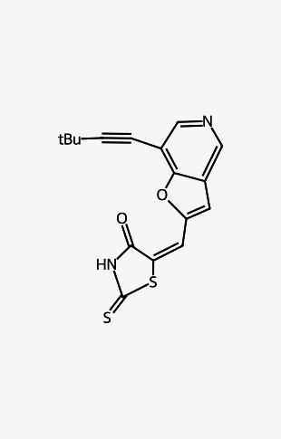 CC(C)(C)C#Cc1cncc2cc(C=C3SC(=S)NC3=O)oc12